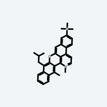 Cc1c2c(c(CC(C)C)c3ccccc13)Oc1cc3cc([Si](C)(C)C)ccc3c3cc[n+](C)c-2c13